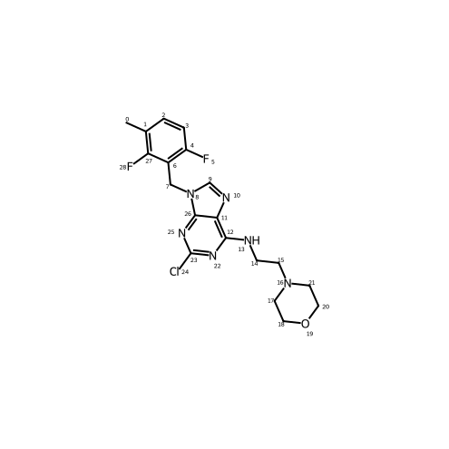 Cc1ccc(F)c(Cn2cnc3c(NCCN4CCOCC4)nc(Cl)nc32)c1F